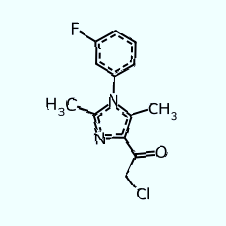 Cc1nc(C(=O)CCl)c(C)n1-c1cccc(F)c1